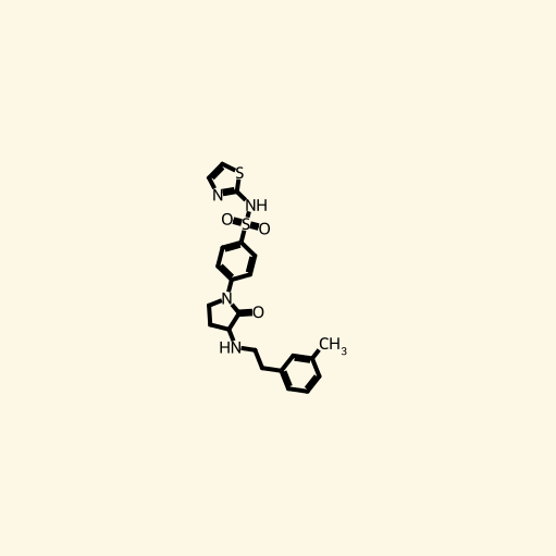 Cc1cccc(CCNC2CCN(c3ccc(S(=O)(=O)Nc4nccs4)cc3)C2=O)c1